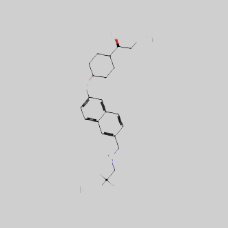 CC(C)(C)CC(=O)C1CCC(Oc2ccc3cc(CNCC(F)(F)C(=O)O)ccc3c2)CC1